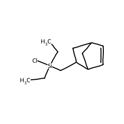 CC[Si](Cl)(CC)CC1CC2C=CC1C2